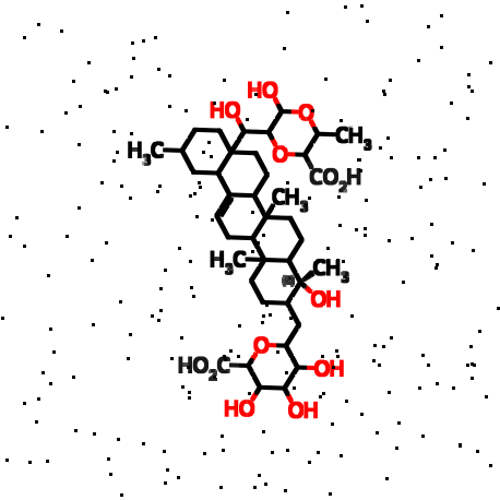 CC1CCC2(C(O)C3OC(C(=O)O)C(C)OC3O)CCC3C(=CCC4C3(C)CCC3C4(C)CCC(CC4OC(C(=O)O)C(O)C(O)C4O)[C@@]3(C)O)C2C1